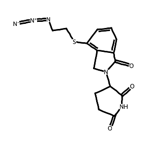 [N-]=[N+]=NCCSc1cccc2c1CN(C1CCC(=O)NC1=O)C2=O